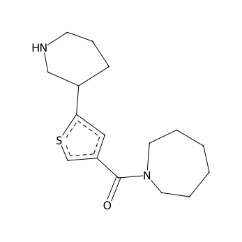 O=C(c1csc(C2CCCNC2)c1)N1CCCCCC1